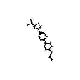 C=CCC1CCC(c2ccc(C3=NC(C(C)C)CO3)cc2)CC1